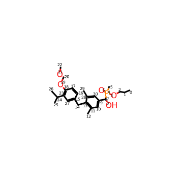 CCCOP(C)(=O)C(O)c1cc(C)c(Cc2ccc(OCOC)c(C(C)C)c2)c(C)c1